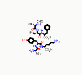 CCCC[C@H](N)C(=O)N[C@@H](Cc1ccc(O)cc1)C(=O)N[C@@H](CCCCN)C(=O)O.CCCC[C@H](NC=O)C(=O)N[C@@H](CC(C)C)C(=O)N[C@@H](Cc1ccccc1)C(=O)O